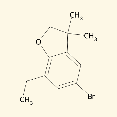 CCc1cc(Br)cc2c1OCC2(C)C